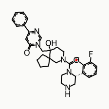 O=C(N1CC[C@@](O)(Cn2cnc(-c3ccccc3)cc2=O)C2(CCCC2)C1)N1CCNC[C@H]1c1cccc(F)c1F